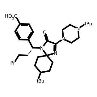 CC(C)CC[C@H](c1ccc(C(=O)O)cc1)N1C(=O)C(N2CCN(C(C)(C)C)CC2)=NC12CCC(C(C)(C)C)CC2